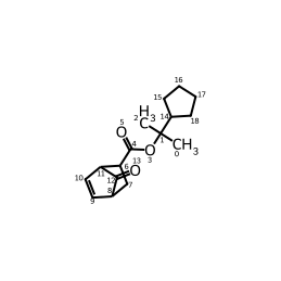 CC(C)(OC(=O)C1CC2C=CC1C2=O)C1CCCC1